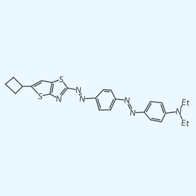 CCN(CC)c1ccc(N=Nc2ccc(N=Nc3nc4sc(C5CCC5)cc4s3)cc2)cc1